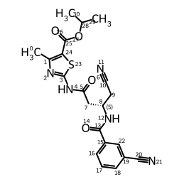 Cc1nc(NC(=O)C[C@H](CC#N)NC(=O)c2cccc(C#N)c2)sc1C(=O)OC(C)C